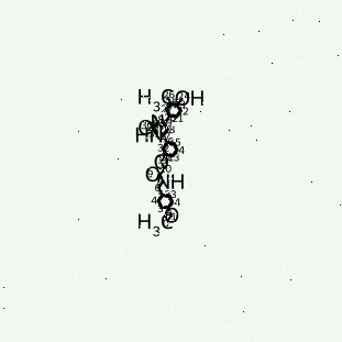 COc1ccc(CNC(=O)COc2cccc(-c3cc(-c4ccc(O)c(C)c4)nc(=O)[nH]3)c2)cc1